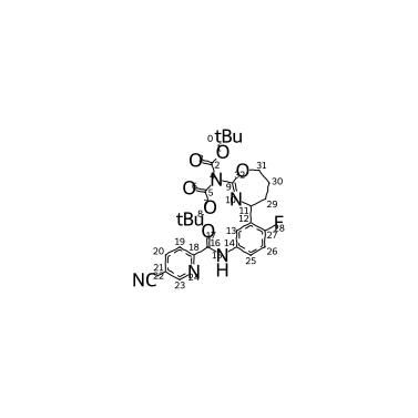 CC(C)(C)OC(=O)N(C(=O)OC(C)(C)C)C1=NC(c2cc(NC(=O)c3ccc(C#N)cn3)ccc2F)CCCO1